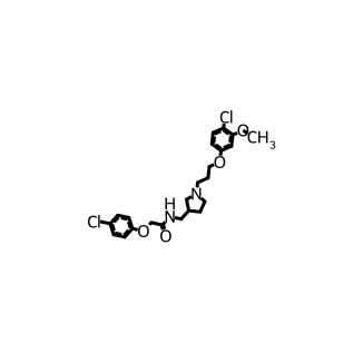 COc1cc(OCCCN2CCC(CNC(=O)COc3ccc(Cl)cc3)C2)ccc1Cl